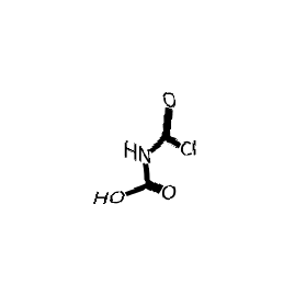 O=C(O)NC(=O)Cl